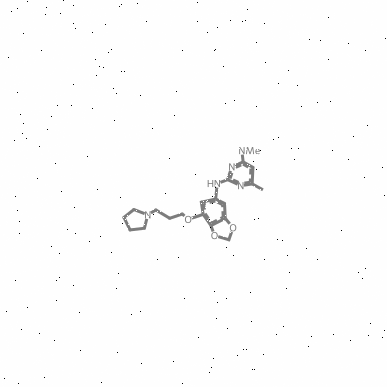 CNc1cc(C)nc(Nc2cc(OCCCN3CCCC3)c3c(c2)OCO3)n1